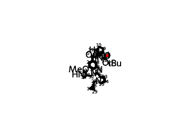 COc1cc(C(=O)N2C[C@H]3CC[C@@H]2[C@@H]3NC(=O)OC(C)(C)C)cc2nc(-c3cccn3CC3CC3)n(CC3CNC3)c12